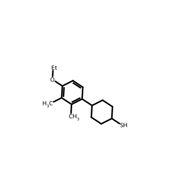 CCOc1ccc(C2CCC(S)CC2)c(C)c1C